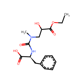 CCOC(=O)C(O)CN(C)C(=O)N[C@@H](Cc1ccccc1)C(=O)O